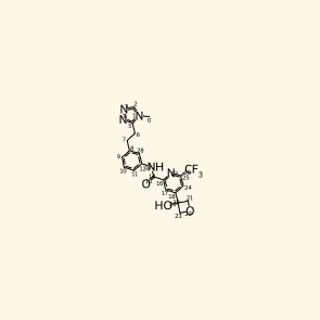 Cn1cnnc1CCc1cccc(NC(=O)c2cc(C3(O)COC3)cc(C(F)(F)F)n2)c1